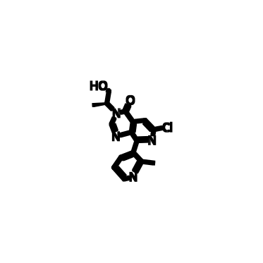 Cc1ncccc1-c1nc(Cl)cc2c(=O)n([C@@H](C)CO)cnc12